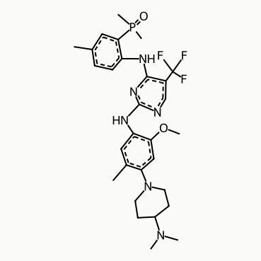 COc1cc(N2CCC(N(C)C)CC2)c(C)cc1Nc1ncc(C(F)(F)F)c(Nc2ccc(C)cc2P(C)(C)=O)n1